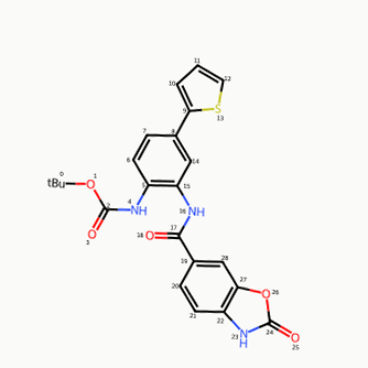 CC(C)(C)OC(=O)Nc1ccc(-c2cccs2)cc1NC(=O)c1ccc2[nH]c(=O)oc2c1